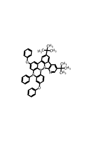 CC(C)(C)c1cnc2c(c1)c1cc(C(C)(C)C)cc3c1n2B1c2ccc(Oc4ccccc4)cc2N(c2ccccc2)c2cc(Oc4ccccc4)cc-3c21